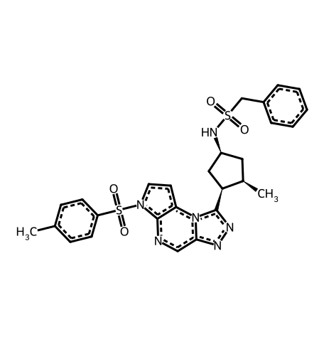 Cc1ccc(S(=O)(=O)n2ccc3c2ncc2nnc([C@H]4C[C@@H](NS(=O)(=O)Cc5ccccc5)C[C@H]4C)n23)cc1